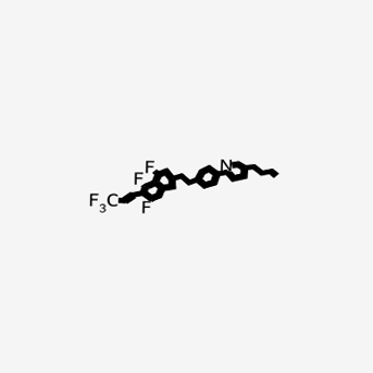 C=CCCc1ccc(-c2ccc(CCc3cc(F)c4c(F)c(C#CC(F)(F)F)c(F)cc4c3)cc2)nc1